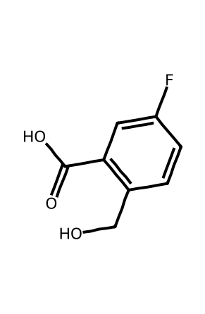 O=C(O)c1cc(F)ccc1CO